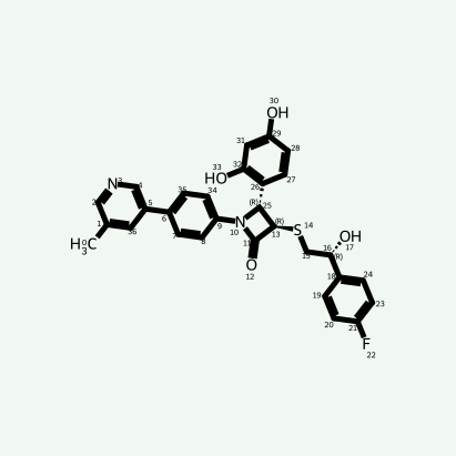 Cc1cncc(-c2ccc(N3C(=O)[C@H](SC[C@H](O)c4ccc(F)cc4)[C@H]3c3ccc(O)cc3O)cc2)c1